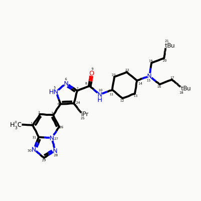 Cc1cc(-c2[nH]nc(C(=O)NC3CCC(N(CCC(C)(C)C)CCC(C)(C)C)CC3)c2C(C)C)cn2ncnc12